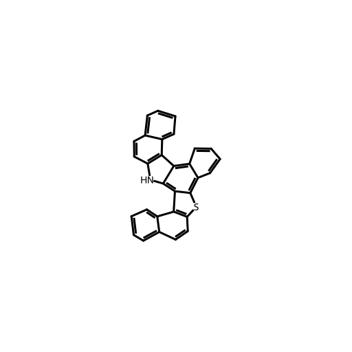 c1ccc2c(c1)ccc1[nH]c3c(c4ccccc4c4sc5ccc6ccccc6c5c34)c12